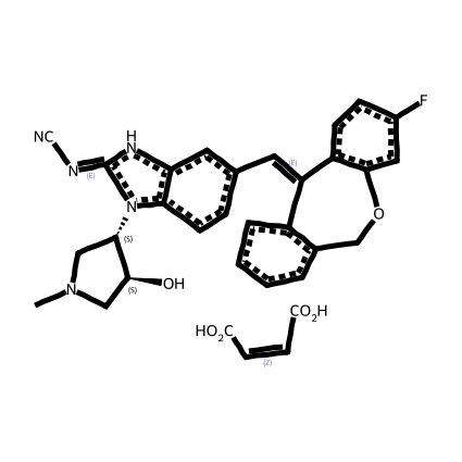 CN1C[C@H](O)[C@@H](n2/c(=N/C#N)[nH]c3cc(/C=C4\c5ccccc5COc5cc(F)ccc54)ccc32)C1.O=C(O)/C=C\C(=O)O